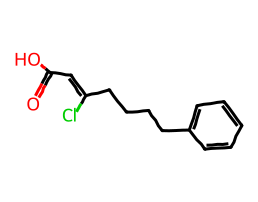 O=C(O)C=C(Cl)CCCCc1ccccc1